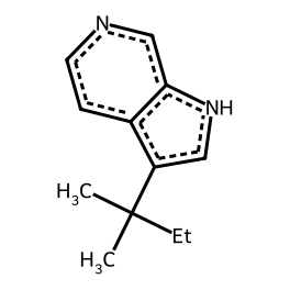 CCC(C)(C)c1c[nH]c2cnccc12